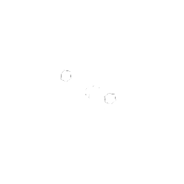 CC(NC(=O)OCc1ccccc1)[C@H](O)c1cc(F)cc(F)c1